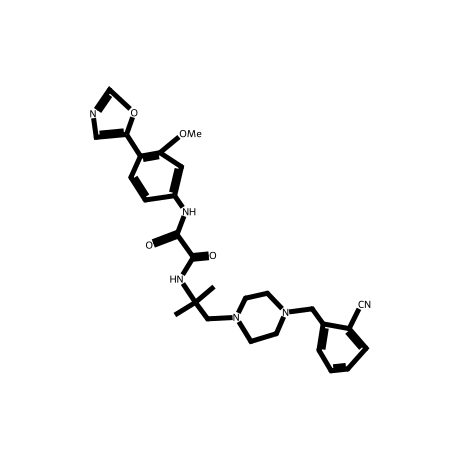 COc1cc(NC(=O)C(=O)NC(C)(C)CN2CCN(Cc3ccccc3C#N)CC2)ccc1-c1cnco1